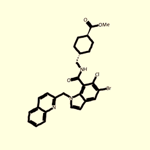 COC(=O)[C@H]1CC[C@H](CNC(=O)c2c(Cl)c(Br)cc3ccn(Cc4ccc5ccccc5n4)c23)CC1